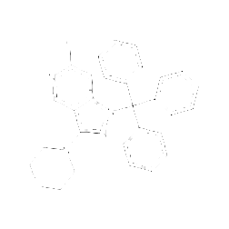 Clc1cc2c(cn1)c(N1CCOCC1)nn2C(c1ccccc1)(c1ccccc1)c1ccccc1